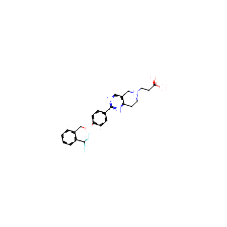 O=C(O)CCN1CCc2nc(-c3ccc(OCc4ccccc4C(F)F)cc3)ncc2C1